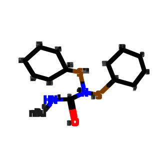 CCCCNC(=O)N(SC1CCCCC1)SC1CCCCC1